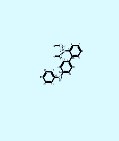 CO[SiH](OC)c1ccccc1-c1ccc(Oc2ccccc2)cc1